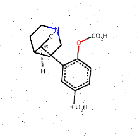 O=C(O)Oc1ccc(C(=O)O)cc1[C@@H]1CN2CCC1CC2